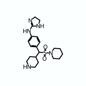 O=S(=O)(C(c1ccc(NC2=NCCN2)cc1)C1CCNCC1)N1CCCCC1